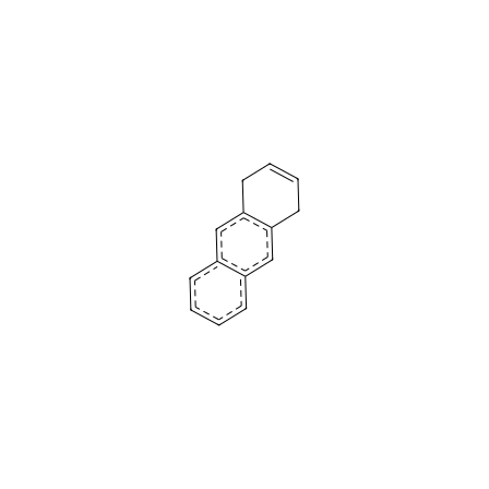 C1=CCc2cc3ccccc3cc2C1